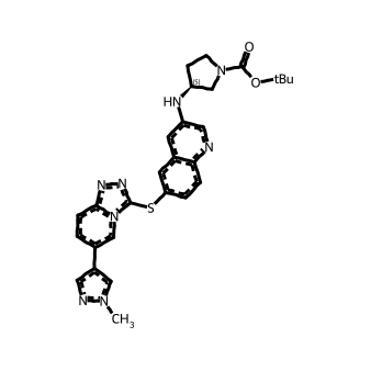 Cn1cc(-c2ccc3nnc(Sc4ccc5ncc(N[C@H]6CCN(C(=O)OC(C)(C)C)C6)cc5c4)n3c2)cn1